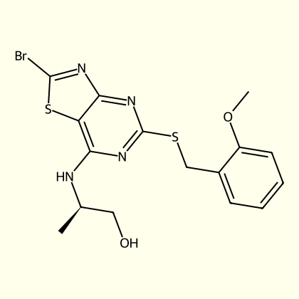 COc1ccccc1CSc1nc(N[C@H](C)CO)c2sc(Br)nc2n1